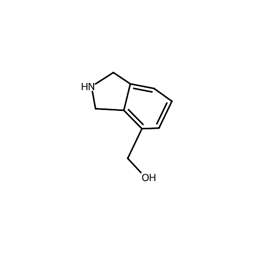 OCc1cccc2c1CNC2